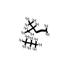 [2H]C([2H])([2H])C([2H])([2H])C([2H])([2H])[2H].[2H]C([2H])=C=CC([2H])(C([2H])([2H])[2H])C([2H])([2H])[2H]